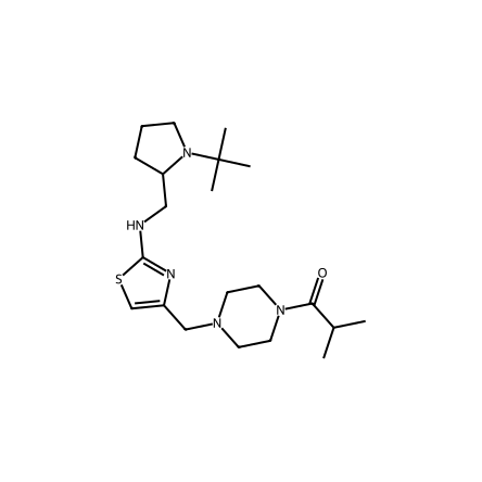 CC(C)C(=O)N1CCN(Cc2csc(NCC3CCCN3C(C)(C)C)n2)CC1